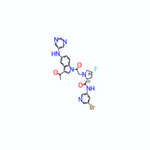 CC(=O)c1cn(C(=O)CN2C[C@H](F)C[C@H]2C(=O)Nc2cncc(Br)c2)c2ccc(Nc3cncnc3)cc12